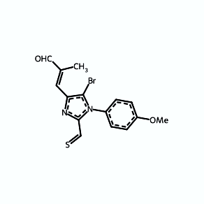 COc1ccc(-n2c(C=S)nc(C=C(C)C=O)c2Br)cc1